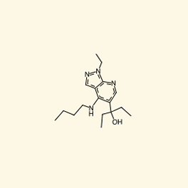 CCCCNc1c(C(O)(CC)CC)cnc2c1cnn2CC